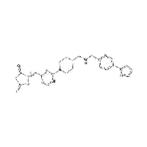 O=C1CC(=O)/C(=C/c2ccnc(N3CCC(CNCc4ccc(-c5ccco5)cn4)CC3)n2)S1